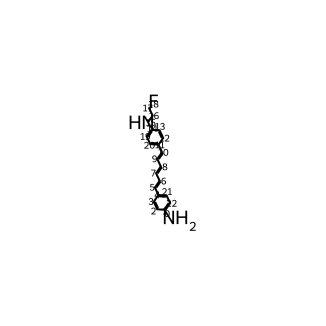 Nc1ccc(C=CC=CC=Cc2ccc(NCCF)cc2)cc1